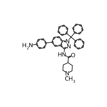 CN1CCC(C(=O)Nc2nn(C(c3ccccc3)(c3ccccc3)c3ccccc3)c3ccc(-c4ccc(N)cc4)cc23)CC1